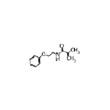 C=C(C)C(=O)NCCOc1ccccc1